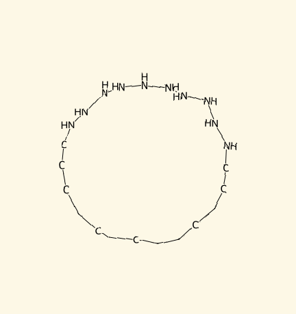 C1CCCCCCNNNNNNNNNNCCCCCC1